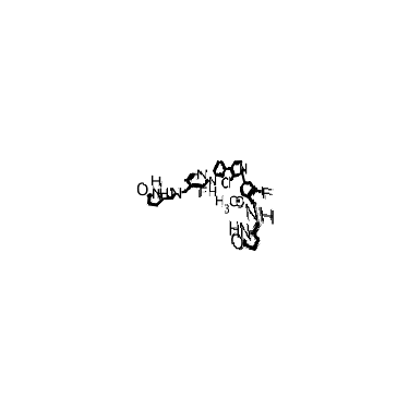 COc1cc(-c2nccc(-c3cccc(Nc4nccc(CNCC5CCC(=O)N5)c4F)c3Cl)c2Cl)cc(F)c1CNCC1CCC(=O)N1